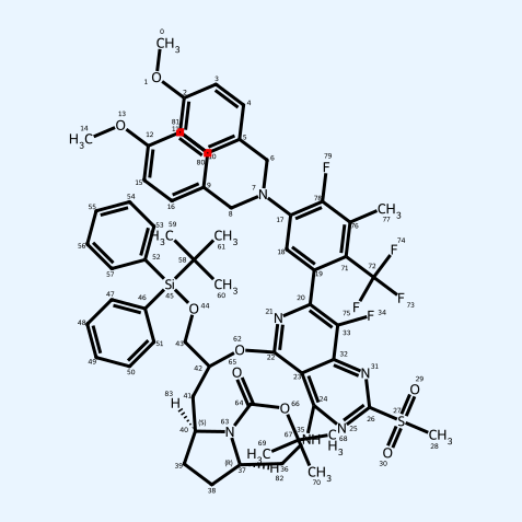 COc1ccc(CN(Cc2ccc(OC)cc2)c2cc(-c3nc4c5c(nc(S(C)(=O)=O)nc5c3F)NC[C@H]3CC[C@@H](CC(CO[Si](c5ccccc5)(c5ccccc5)C(C)(C)C)O4)N3C(=O)OC(C)(C)C)c(C(F)(F)F)c(C)c2F)cc1